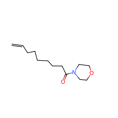 C=CCCCCCCC(=O)N1CCOCC1